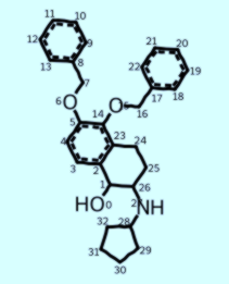 OC1c2ccc(OCc3ccccc3)c(OCc3ccccc3)c2CCC1NC1CCCC1